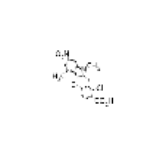 Cc1cc([N+](=O)[O-])cc2c1cc(Cc1c(Cl)ccc(C(=O)O)c1Cl)n2C